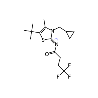 Cc1c(C(C)(C)C)s/c(=N\C(=O)CCC(F)(F)F)n1CC1CC1